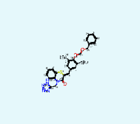 CC(C)(C)c1cc(/C=C2\Sc3ccccc3N(Cc3nnn[nH]3)C2=O)cc(C(C)(C)C)c1OCOCc1ccccc1